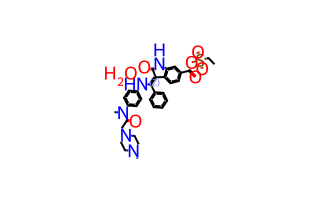 CCS(=O)(=O)OC(=O)c1ccc2c(c1)NC(=O)/C2=C(\Nc1ccc(N(C)C(=O)CN2CCN(C)CC2)cc1)c1ccccc1.O